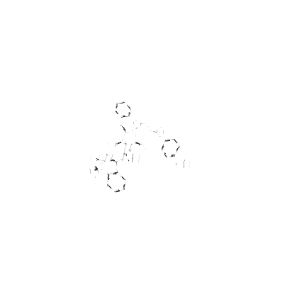 Cc1ccc(OCCOc2ccccc2C=C2SC(=S)N(NC3=NS(=O)(=O)c4ccccc43)C2=O)cc1